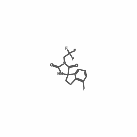 O=C1NC2(CCc3c(F)cccc32)C(=O)N1CC(F)(F)F